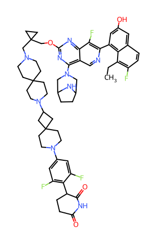 CCc1c(F)ccc2cc(O)cc(-c3ncc4c(N5CC6CCC(C5)N6)nc(OCC5(CN6CCC7(CC6)CCN(C6CC8(CCN(c9cc(F)c(C%10CCC(=O)NC%10=O)c(F)c9)CC8)C6)CC7)CC5)nc4c3F)c12